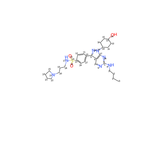 CCCCNc1ncc2c(-c3ccc(S(=O)(=O)NCCCN4CCCC4)cc3)nn(C3CCC(O)CC3)c2n1